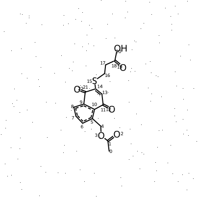 CC(=O)OCc1cccc2c1C(=O)C=C(SCCC(=O)O)C2=O